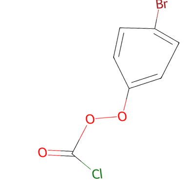 O=C(Cl)OOc1ccc(Br)cc1